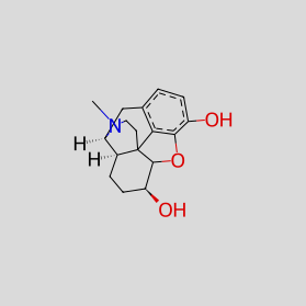 CN1CCC23c4c5ccc(O)c4OC2[C@@H](O)CC[C@H]3[C@H]1C5